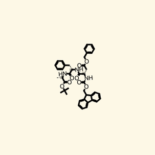 C[C@H](NC(=O)[C@H](Cc1ccccc1)NC(=O)[C@H](CC(=O)OCc1ccccc1)NC(=O)OCC1c2ccccc2-c2ccccc21)C(=O)OC(C)(C)C